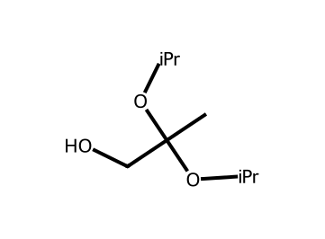 CC(C)OC(C)(CO)OC(C)C